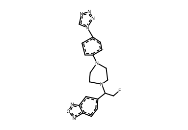 FCC(c1ccc2nonc2c1)N1CCN(c2[c]cc(-n3cnnn3)cc2)CC1